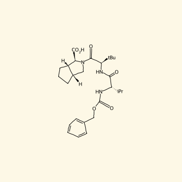 CC(C)[C@H](NC(=O)OCc1ccccc1)C(=O)N[C@@H](C(=O)N1C[C@@H]2CCC[C@@H]2[C@H]1C(=O)O)C(C)(C)C